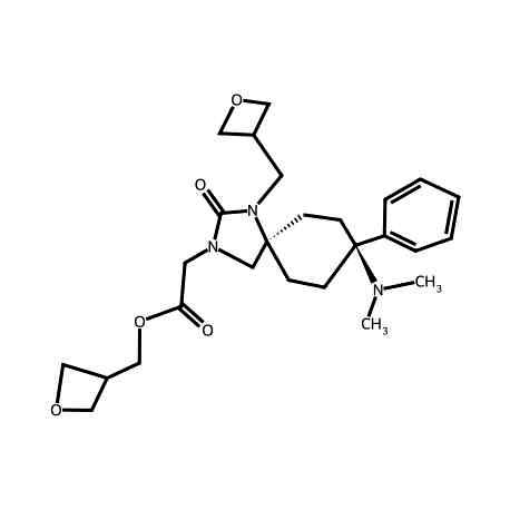 CN(C)[C@]1(c2ccccc2)CC[C@]2(CC1)CN(CC(=O)OCC1COC1)C(=O)N2CC1COC1